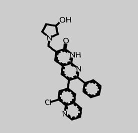 O=c1[nH]c2nc(-c3ccccc3)c(-c3cc(Cl)c4ncccc4c3)cc2cc1CN1CCC(O)C1